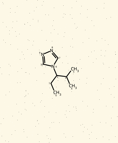 CCC(C(C)C)n1cnnc1